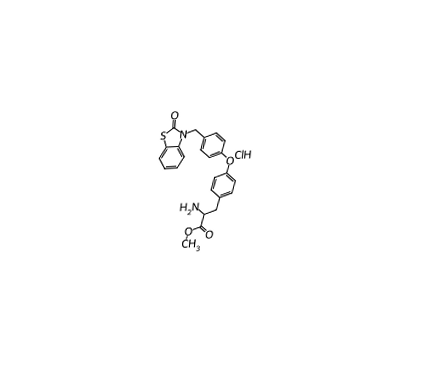 COC(=O)C(N)Cc1ccc(Oc2ccc(Cn3c(=O)sc4ccccc43)cc2)cc1.Cl